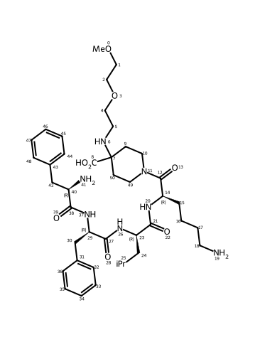 COCCOCCNC1(C(=O)O)CCN(C(=O)[C@@H](CCCCN)NC(=O)[C@@H](CC(C)C)NC(=O)[C@@H](Cc2ccccc2)NC(=O)[C@H](N)Cc2ccccc2)CC1